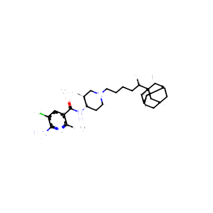 COc1nc(N)c(Cl)cc1C(=O)N[C@@H]1CCN(CCCCC(C(=O)O)C23CC4CC(CC(C4)C2)C3)C[C@@H]1OC